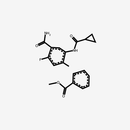 COC(=O)c1ccccc1.Cc1cc(F)c(C(N)=O)cc1NC(=O)C1CC1